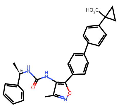 Cc1noc(-c2ccc(-c3ccc(C4(C(=O)O)CC4)cc3)cc2)c1NC(=O)N[C@H](C)c1ccccc1